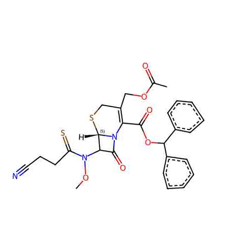 CON(C(=S)CCC#N)C1C(=O)N2C(C(=O)OC(c3ccccc3)c3ccccc3)=C(COC(C)=O)CS[C@@H]12